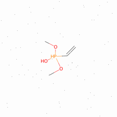 C=C[PH](O)(OC)OC